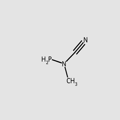 CN(P)C#N